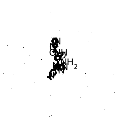 COc1cc(-c2nn(C3CCN(C(C)C)CC3)c3ncnc(N)c23)ccc1NC(=O)c1cc2ncccc2n1C